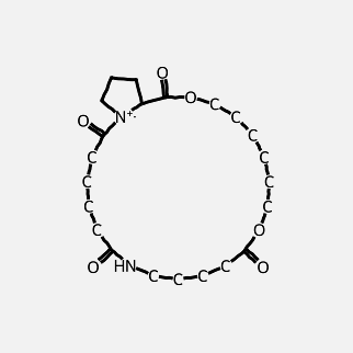 O=C1CCCCC(=O)[N+]2CCCC2C(=O)OCCCCCCOC(=O)CCCCN1